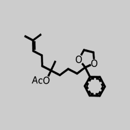 CC(=O)OC(C)(CCC=C(C)C)CCCC1(c2ccccc2)OCCO1